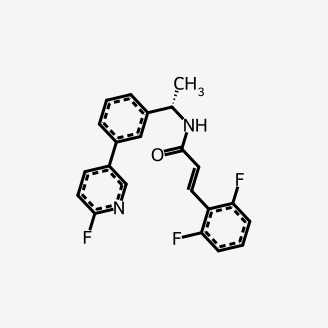 C[C@H](NC(=O)/C=C/c1c(F)cccc1F)c1cccc(-c2ccc(F)nc2)c1